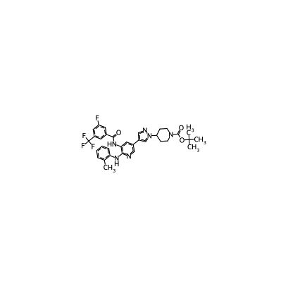 Cc1ccccc1Nc1ncc(-c2cnn(C3CCN(C(=O)OC(C)(C)C)CC3)c2)cc1NC(=O)c1cc(F)cc(C(F)(F)F)c1